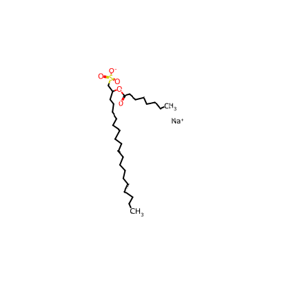 CCCCCCCCCCCCCCCCCCC(CS(=O)(=O)[O-])OC(=O)CCCCCCC.[Na+]